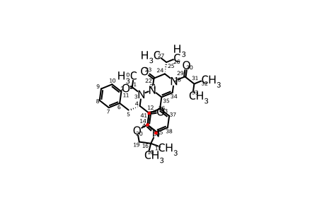 CC(=O)N([C@@H](Cc1ccccc1)C(=O)C1=NC(C)(C)CO1)N1C(=O)[C@H](C(C)C)N(C(=O)C(C)C)C=C1c1ccccc1